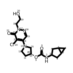 O=C(NC1CC2CC2C1)O[C@@H]1CCN(c2cnn(CCO)c(=O)c2Cl)C1